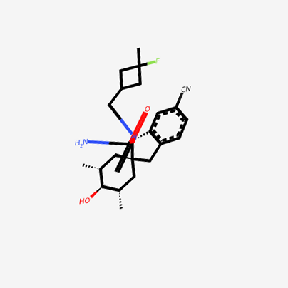 C[C@@H]1C[C@@]2(Cc3ccc(C#N)cc3[C@]23N=C(N)N(CC2CC(C)(F)C2)C3=O)C[C@H](C)[C@H]1O